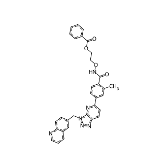 Cc1cc(-c2ccc3nnn(Cc4ccc5ncccc5c4)c3n2)ccc1C(=O)NOCCOC(=O)c1ccccc1